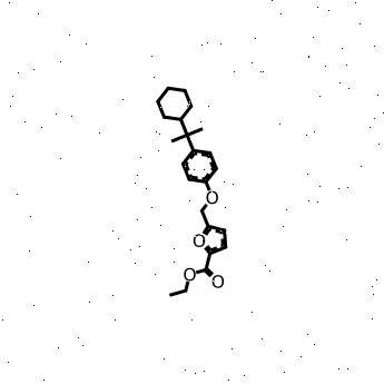 CCOC(=O)c1ccc(COc2ccc(C(C)(C)C3CCCCC3)cc2)o1